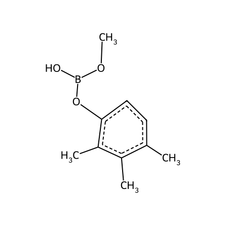 COB(O)Oc1ccc(C)c(C)c1C